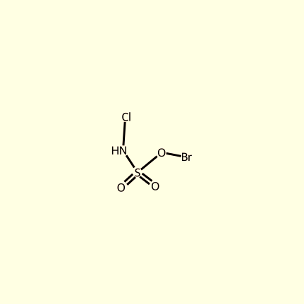 O=S(=O)(NCl)OBr